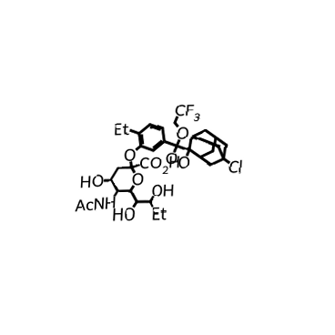 CCc1ccc(C2(OCC(F)(F)F)OOC23C2CC4CC3CC(Cl)(C4)C2)cc1OC1(C(=O)O)CC(O)C(NC(C)=O)C(C(O)C(O)CC)O1